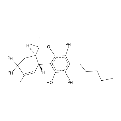 [2H]c1c(O)c2c(c([2H])c1CCCCC)OC(C)(C)[C@@H]1CC([2H])([2H])C(C)=C[C@@]21[2H]